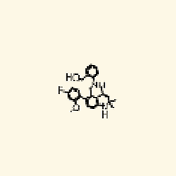 COc1cc(F)ccc1-c1ccc2c(c1CNc1ccccc1CO)C(C)=CC(C)(C)N2